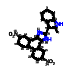 Cc1[nH]c2ccccc2c1-c1nc2c3cc([N+](=O)[O-])ccc3c3ccc([N+](=O)[O-])cc3c2[nH]1